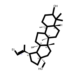 CC/C=C(\C)[C@@H]1CC[C@]2(CO)CC[C@]3(C)[C@H](CCC4[C@@]5(C)CCC(O)C(C)(C)[C@@H]5CC[C@]43C)C12